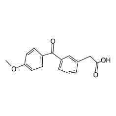 COc1ccc(C(=O)c2cccc(CC(=O)O)c2)cc1